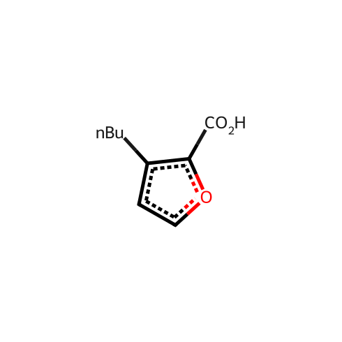 CCCCc1ccoc1C(=O)O